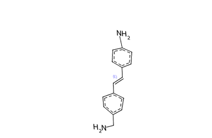 NCc1ccc(/C=C/c2ccc(N)cc2)cc1